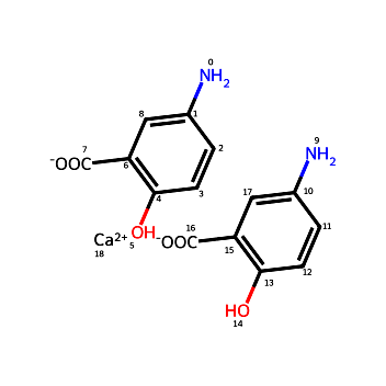 Nc1ccc(O)c(C(=O)[O-])c1.Nc1ccc(O)c(C(=O)[O-])c1.[Ca+2]